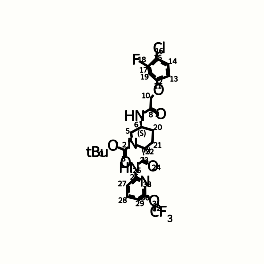 CC(C)(C)OC(=O)N1C[C@@H](NC(=O)COc2ccc(Cl)c(F)c2)CC[C@@H]1C(=O)Nc1cccc(OC(F)(F)F)n1